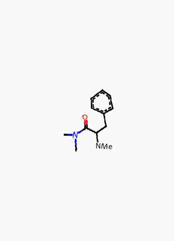 CNC(Cc1ccccc1)C(=O)N(C)C